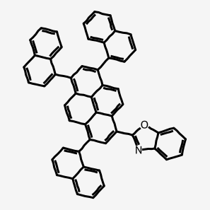 c1ccc2c(-c3cc(-c4nc5ccccc5o4)c4ccc5c(-c6cccc7ccccc67)cc(-c6cccc7ccccc67)c6ccc3c4c56)cccc2c1